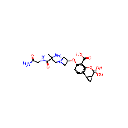 CC(N)(CN1CC(Oc2ccc3c(c2C(=O)O)O[B-](O)(O)C2CC32)C1)C(=O)NCC(N)=O